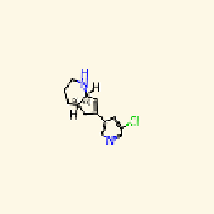 Clc1cncc(C2=C[C@H]3NCCC[C@H]3C2)c1